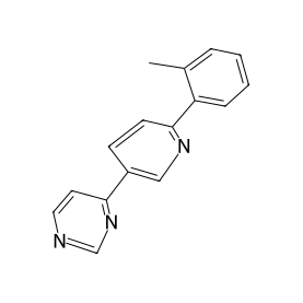 Cc1ccccc1-c1ccc(-c2ccncn2)cn1